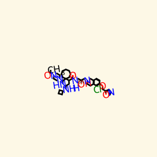 CC(=O)N1CCN(C2NC(NC3CCC3)CC(C(=O)NC[C@H](O)CN3CCc4c(ccc(OCc5cnco5)c4Cl)C3)C23CCCCCCC3)CC1